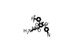 Cc1c([S+]([O-])c2ccc(C#N)cc2)cc(C(=O)NCCCN)c(=O)n1-c1cccc(C(F)(F)F)c1